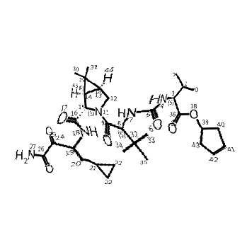 CC(C)[C@H](NC(=O)N[C@H](C(=O)N1C[C@H]2[C@@H]([C@H]1C(=O)NC(CC1CC1)C(=O)C(N)=O)C2(C)C)C(C)(C)C)C(=O)OC1CCCC1